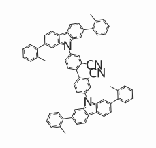 Cc1ccccc1-c1ccc2c3ccc(-c4ccccc4C)cc3n(-c3ccc(-c4ccc(-n5c6cc(-c7ccccc7C)ccc6c6ccc(-c7ccccc7C)cc65)cc4C#N)c(C#N)c3)c2c1